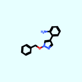 Nc1ccccc1-c1cnn(OCc2ccccc2)c1